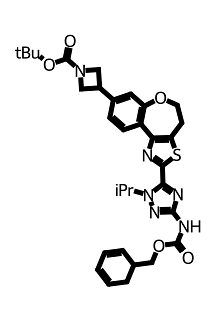 CC(C)n1nc(NC(=O)OCC2C=CC=CC2)nc1-c1nc2c(s1)CCOc1cc(C3CN(C(=O)OC(C)(C)C)C3)ccc1-2